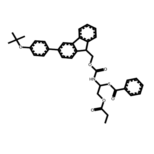 CCC(=O)OCC(NC(=O)OCC1c2ccccc2-c2cc(-c3ccc(OC(C)(C)C)cc3)ccc21)SC(=O)c1ccccc1